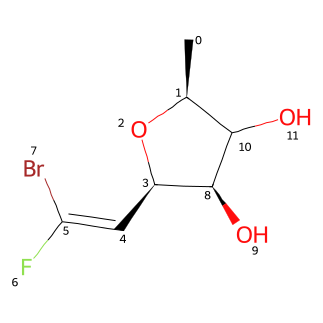 C[C@@H]1O[C@H](C=C(F)Br)[C@H](O)C1O